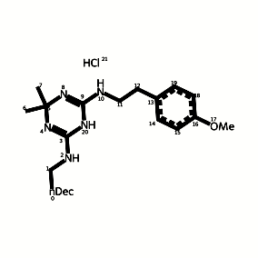 CCCCCCCCCCCNC1=NC(C)(C)N=C(NCCc2ccc(OC)cc2)N1.Cl